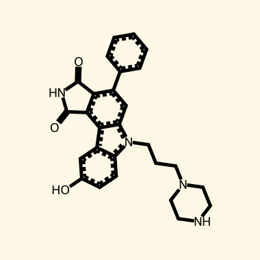 O=C1NC(=O)c2c1c(-c1ccccc1)cc1c2c2cc(O)ccc2n1CCCN1CCNCC1